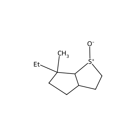 CCC1(C)CCC2CC[S+]([O-])C21